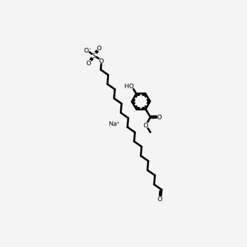 COC(=O)c1ccc(O)cc1.O=CCCCCCCCCCCCCCCCCCOS(=O)(=O)[O-].[Na+]